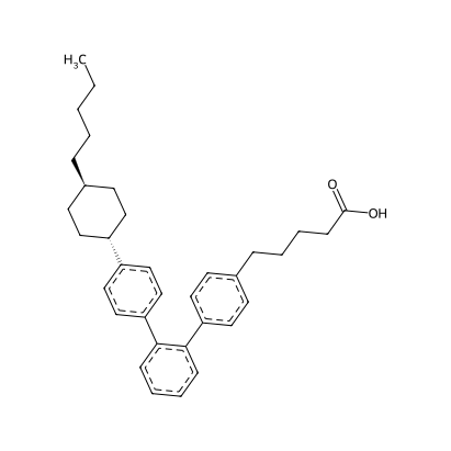 CCCCC[C@H]1CC[C@H](c2ccc(-c3ccccc3-c3ccc(CCCCC(=O)O)cc3)cc2)CC1